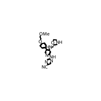 COCCOc1ccc(-c2cnc(Nc3cnc(C#N)cn3)cc2NC[C@H]2CNCCO2)cc1